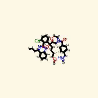 CCCc1nc(-c2c(Cl)cccc2C(O)(CCCCOC)C2CN(C(=O)c3ccc(CNC)cc3)CCO2)nc2ccccc12